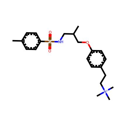 Cc1ccc(S(=O)(=O)NCC(C)COc2ccc(CC[N+](C)(C)C)cc2)cc1